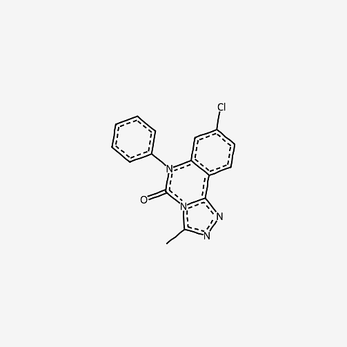 Cc1nnc2c3ccc(Cl)cc3n(-c3ccccc3)c(=O)n12